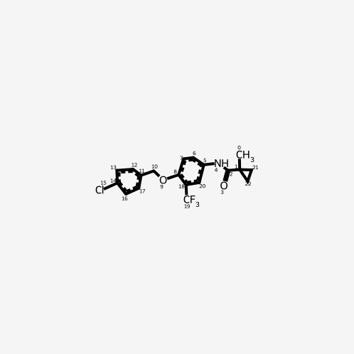 CC1(C(=O)Nc2ccc(OCc3ccc(Cl)cc3)c(C(F)(F)F)c2)CC1